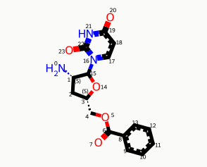 N[C@H]1C[C@@H](COC(=O)c2ccccc2)OC1n1ccc(=O)[nH]c1=O